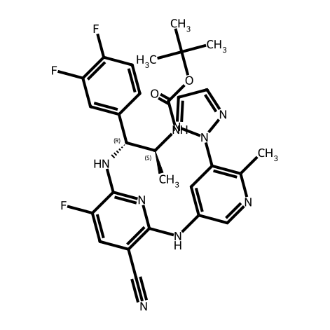 Cc1ncc(Nc2nc(N[C@H](c3ccc(F)c(F)c3)[C@H](C)NC(=O)OC(C)(C)C)c(F)cc2C#N)cc1-n1nccn1